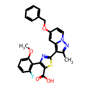 COc1cccc(F)c1-c1nc(-c2c(C)nn3ccc(OCc4ccccc4)cc23)sc1C(=O)O